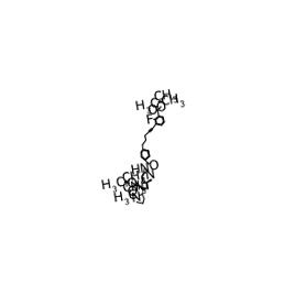 CN1CCC[C@@H]1c1cc2cnc(NC(=O)c3ccc(CCCC#Cc4cccc(C(=O)OC(C)(C)C)c4F)cc3)cc2n1C(=O)OC(C)(C)C